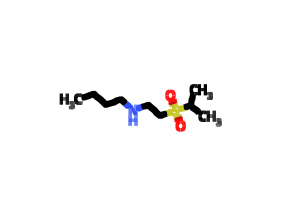 CCCCNCCS(=O)(=O)C(C)C